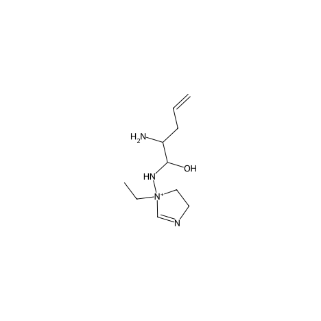 C=CCC(N)C(O)N[N+]1(CC)C=NCC1